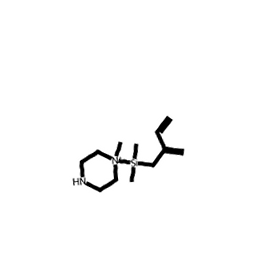 C=CC(=C)C[Si](C)(C)[N+]1(C)CCNCC1